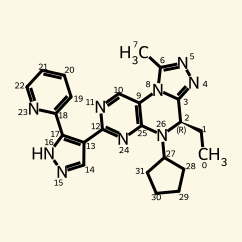 CC[C@@H]1c2nnc(C)n2-c2cnc(-c3cn[nH]c3-c3ccccn3)nc2N1C1CCCC1